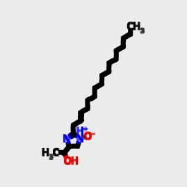 CCCCCCCCCCCCCCC=CCC1=NC(C(C)O)C[NH+]1[O-]